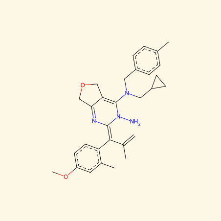 C=C(C)/C(=C1/N=C2COCC2=C(N(Cc2ccc(C)cc2)CC2CC2)N1N)c1ccc(OC)cc1C